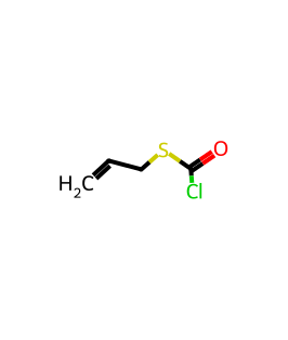 C=CCSC(=O)Cl